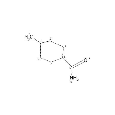 CC1CCC(C(N)=O)CC1